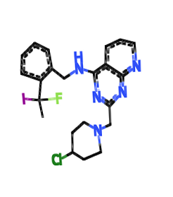 CC(F)(I)c1ccccc1CNc1nc(CN2CCC(Cl)CC2)nc2ncccc12